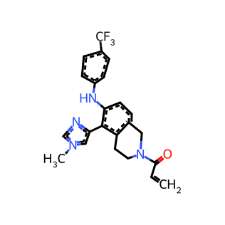 C=CC(=O)N1CCc2c(ccc(Nc3ccc(C(F)(F)F)cc3)c2-c2cn(C)cn2)C1